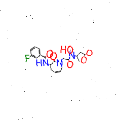 O=C1CC(N(O)C(=O)CN2CC=CCC(NC(=O)c3cccc(F)c3)C2=O)CO1